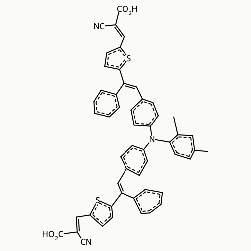 Cc1ccc(N(c2ccc(/C=C(\c3ccccc3)c3ccc(/C=C(\C#N)C(=O)O)s3)cc2)c2ccc(/C=C(\c3ccccc3)c3ccc(/C=C(\C#N)C(=O)O)s3)cc2)c(C)c1